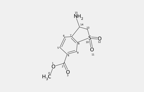 COC(=O)c1ccc2c(c1)S(=O)(=O)CC2N